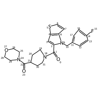 O=C(c1cc2sccc2n1Cc1ccc(F)cc1)N1CCC(C(=O)N2CCOCC2)CC1